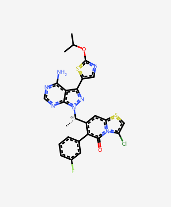 CC(C)Oc1ncc(-c2nn([C@@H](C)c3cc4scc(Cl)n4c(=O)c3-c3cccc(F)c3)c3ncnc(N)c23)s1